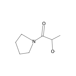 CC([O])C(=O)N1CCCC1